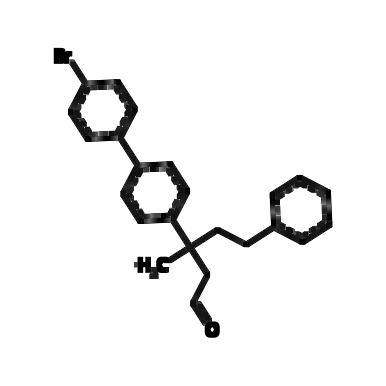 [CH2]C(CC=O)(CCc1ccccc1)c1ccc(-c2ccc(Br)cc2)cc1